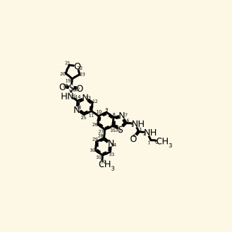 CCNC(=O)Nc1nc2cc(-c3cnc(NS(=O)(=O)C4CCOC4)nc3)cc(-c3ccc(C)cn3)c2s1